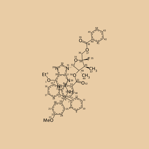 CCOc1nc(NC(c2ccccc2)(c2ccccc2)c2ccc(OC)cc2)nc2c1ncn2[C@@H]1O[C@](F)(COC(=O)c2ccccc2)[C@@H](C)[C@@]1(C)OC(=O)c1ccccc1